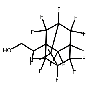 OCC(F)C12C(F)(F)C3(F)C(F)(F)C(F)(C(F)(F)C(F)(C3(F)F)C1(F)F)C2(F)F